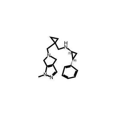 Cn1ncc2c1CN(CC1(CN[C@H]3C[C@@H]3c3ccccc3)CC1)C2